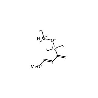 C=C(C=COC)[Si](C)(C)O[SiH2]C